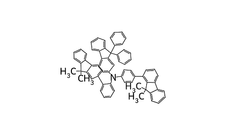 CC1(C)c2ccccc2-c2ccc(-c3ccccc3N(c3ccc(-c4cccc5c4C(C)(C)c4ccccc4-5)cc3)c3ccc4c(c3)C(c3ccccc3)(c3ccccc3)c3ccccc3-4)cc21